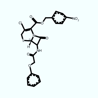 O=C(COc1ccccc1)NC1C(=O)N2C(C(=O)OCc3ccc([N+](=O)[O-])cc3)=C(Cl)CS[C@@H]12